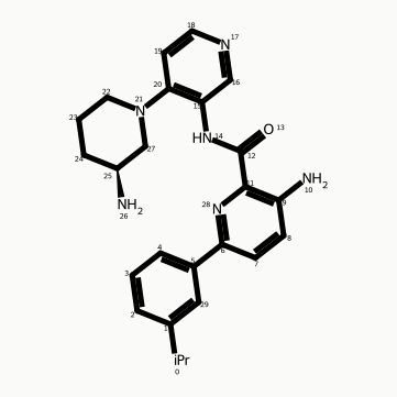 CC(C)c1cccc(-c2ccc(N)c(C(=O)Nc3cnccc3N3CCC[C@H](N)C3)n2)c1